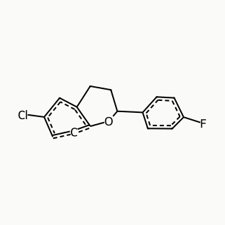 Fc1ccc(C2CCc3cc(Cl)ccc3O2)cc1